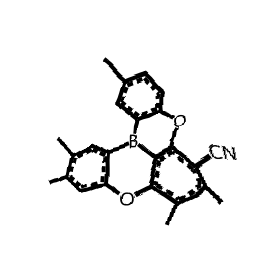 Cc1ccc2c(c1)B1c3cc(C)c(C)cc3Oc3c(C)c(C)c(C#N)c(c31)O2